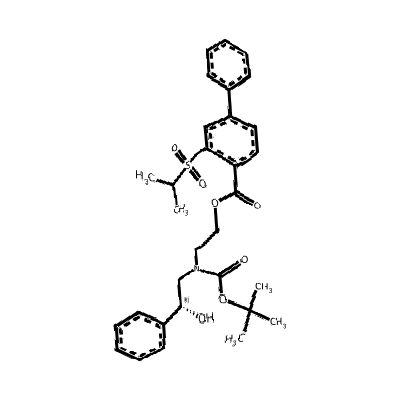 CC(C)S(=O)(=O)c1cc(-c2ccccc2)ccc1C(=O)OCCN(C[C@H](O)c1ccccc1)C(=O)OC(C)(C)C